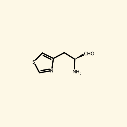 N[C@H](C=O)Cc1cscn1